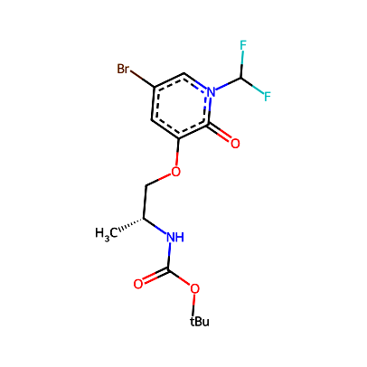 C[C@H](COc1cc(Br)cn(C(F)F)c1=O)NC(=O)OC(C)(C)C